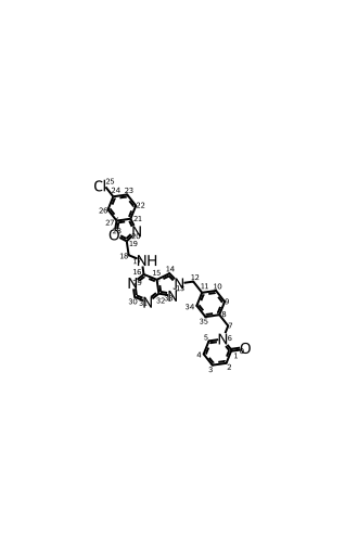 O=c1ccccn1Cc1ccc(Cn2cc3c(NCc4nc5ccc(Cl)cc5o4)ncnc3n2)cc1